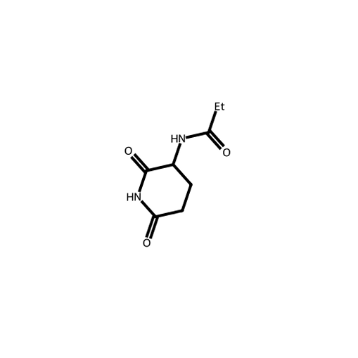 CCC(=O)NC1CCC(=O)NC1=O